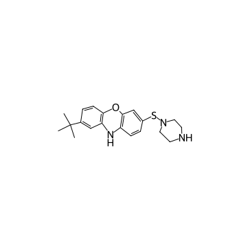 CC(C)(C)c1ccc2c(c1)Nc1ccc(SN3CCNCC3)cc1O2